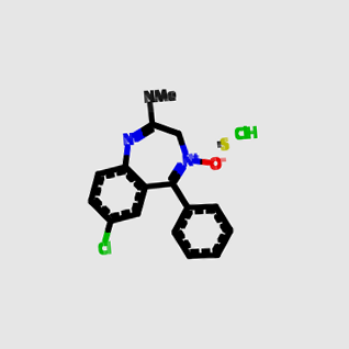 CNC1=Nc2ccc(Cl)cc2C(c2ccccc2)=[N+]([O-])C1.Cl.[S]